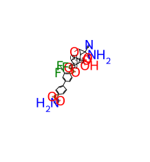 CO[C@H]1C[C@@H](S(=O)(=O)c2ccc(-c3ccc(S(N)(=O)=O)cc3)cc2C(F)(F)F)C[C@]1(C(=O)O)C1CC1(C#N)C(N)=O